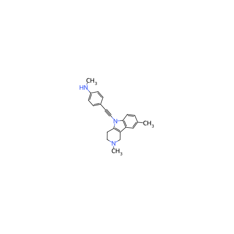 CNc1ccc(C#Cn2c3c(c4cc(C)ccc42)CN(C)CC3)cc1